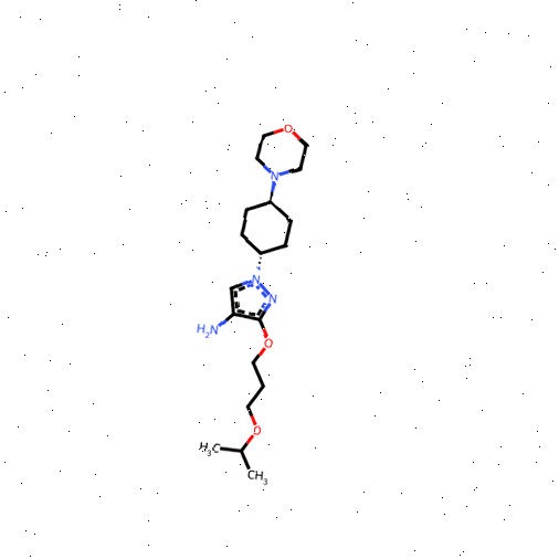 CC(C)OCCCOc1nn([C@H]2CC[C@H](N3CCOCC3)CC2)cc1N